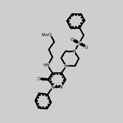 COCCCNc1c(N2CCN(S(=O)(=O)Cc3ccccc3)CC2)cnn(-c2ccccc2)c1=O